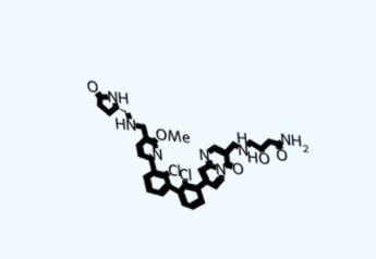 COc1nc(-c2cccc(-c3cccc(-c4ccn5c(=O)c(CNCC(O)CC(N)=O)cnc5c4)c3Cl)c2Cl)ccc1CNC[C@@H]1CCC(=O)N1